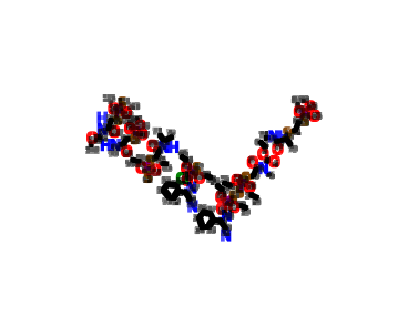 CCOC(=O)N(C)C(=O)CSP(=S)(OCC)OCC.CCOP(=S)(OCC)O/N=C(/C#N)c1ccccc1.CCOP(=S)(OCC)O/N=C(/C#N)c1ccccc1Cl.CCOP(=S)(OCC)SCC(=O)NC(C)C.CNC(=O)C(C)SCCSP(=O)(OC)OC.CNC(=O)CSP(=O)(OC)OC.COCNC(=O)CSP(=S)(OC)OC